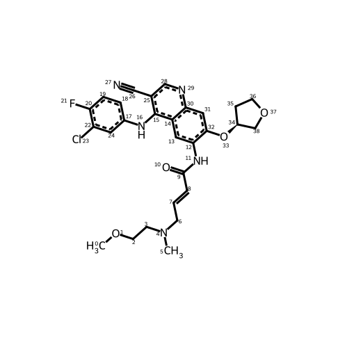 COCCN(C)C/C=C/C(=O)Nc1cc2c(Nc3ccc(F)c(Cl)c3)c(C#N)cnc2cc1O[C@H]1CCOC1